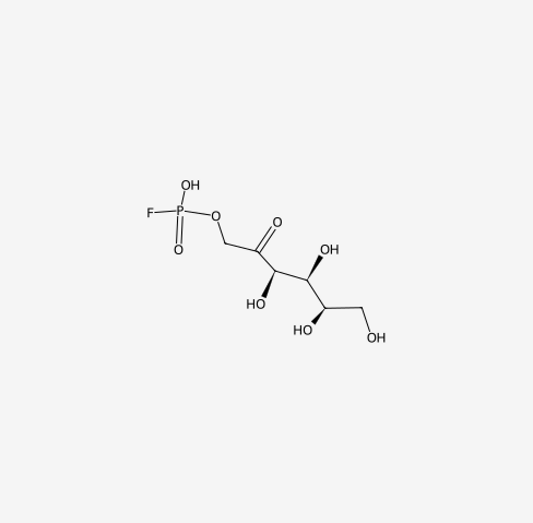 O=C(COP(=O)(O)F)[C@H](O)[C@@H](O)[C@H](O)CO